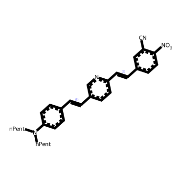 CCCCCN(CCCCC)c1ccc(/C=C/c2ccc(/C=C/c3ccc([N+](=O)[O-])c(C#N)c3)nc2)cc1